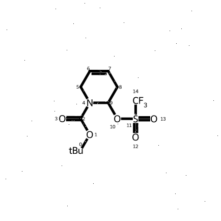 CC(C)(C)OC(=O)N1CC=CCC1OS(=O)(=O)C(F)(F)F